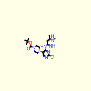 CN/C(C)=C\C(=N)Nc1nc(Cl)ncc1N1CCN(C(=O)OC(C)(C)C)CC1